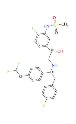 CS(=O)(=O)Nc1cc([C@H](O)CN[C@H](Cc2ccc(F)cc2)c2ccc(OC(F)F)cc2)ccc1F